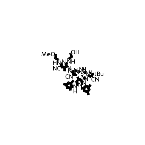 [C-]#[N+]c1cn(-c2nnc(-n3nc(C(C)(C)C)c(C#N)c3N=Nc3c(C)cc(Nc4c(C)cc(C)cc4C)nc3Nc3c(C)cc(C)cc3C)s2)nc1N=Nc1c(NCCCO)nc(NCCCOC)c(C#N)c1C